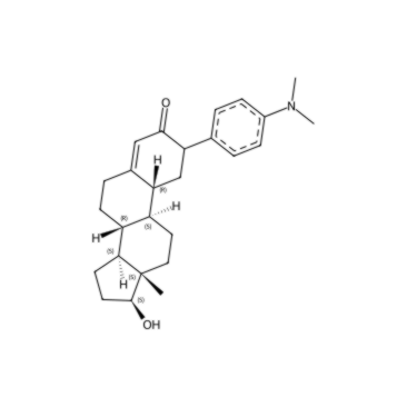 CN(C)c1ccc(C2C[C@H]3C(=CC2=O)CC[C@@H]2[C@@H]3CC[C@]3(C)[C@@H](O)CC[C@@H]23)cc1